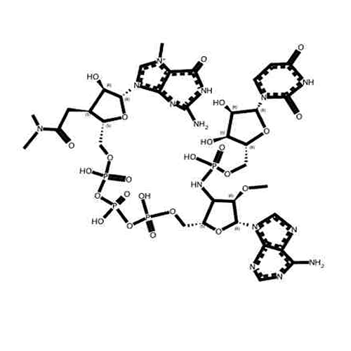 CO[C@@H]1C(NP(=O)(O)OC[C@H]2O[C@@H](n3ccc(=O)[nH]c3=O)[C@H](O)[C@@H]2O)[C@@H](COP(=O)(O)OP(=O)(O)OP(=O)(O)OC[C@H]2O[C@@H](n3c[n+](C)c4c(=O)[nH]c(N)nc43)[C@H](O)[C@@H]2CC(=O)N(C)C)O[C@H]1n1cnc2c(N)ncnc21